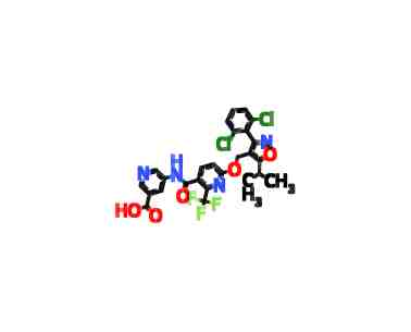 CC(C)c1onc(-c2c(Cl)cccc2Cl)c1COc1ccc(C(=O)Nc2cncc(C(=O)O)c2)c(C(F)(F)F)n1